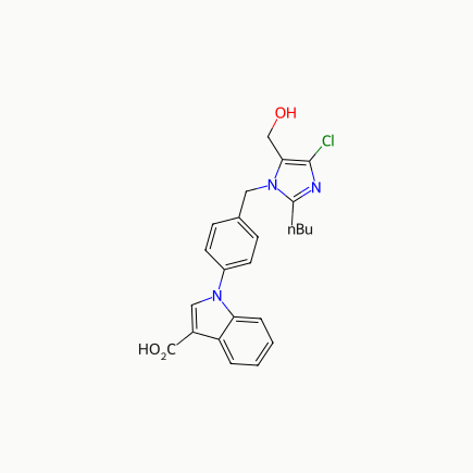 CCCCc1nc(Cl)c(CO)n1Cc1ccc(-n2cc(C(=O)O)c3ccccc32)cc1